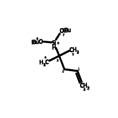 C=CCC(C)(C)[SiH](OCC(C)C)OCC(C)C